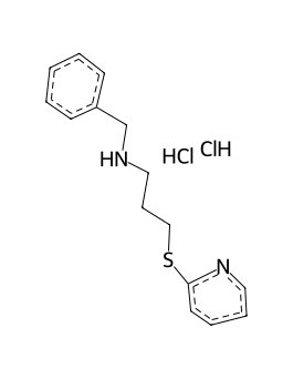 Cl.Cl.c1ccc(CNCCCSc2ccccn2)cc1